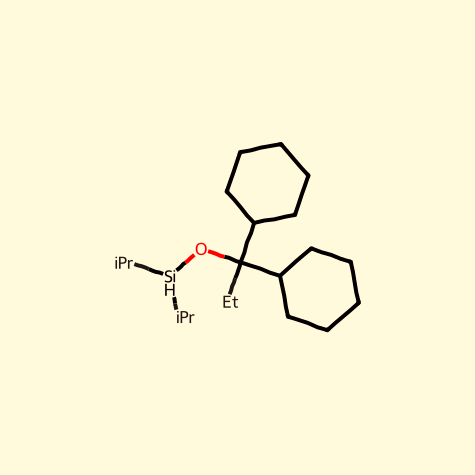 CCC(O[SiH](C(C)C)C(C)C)(C1CCCCC1)C1CCCCC1